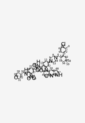 Cc1cc(C2=C(CN3CCN(c4ccc(C(=O)NS(=O)(=O)c5ccc(NCC6CCOCC6)c([N+](=O)[O-])c5)c(N5CCOc6nc7[nH]ccc7cc65)c4)CC3)CCC(C)(C)C2)ccc1Cl